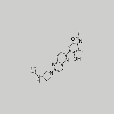 Cc1nc2c(C)c(O)c(-c3ccc4nc(N5CCC(NC6CCC6)C5)ccc4n3)cc2o1